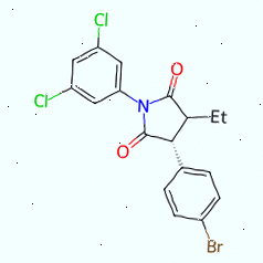 CCC1C(=O)N(c2cc(Cl)cc(Cl)c2)C(=O)[C@H]1c1ccc(Br)cc1